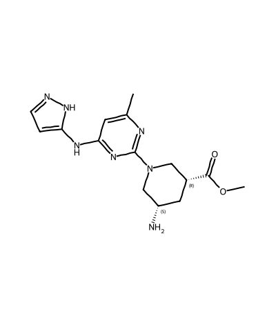 COC(=O)[C@@H]1C[C@H](N)CN(c2nc(C)cc(Nc3ccn[nH]3)n2)C1